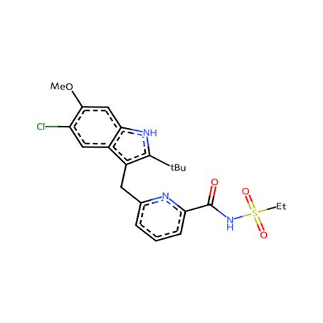 CCS(=O)(=O)NC(=O)c1cccc(Cc2c(C(C)(C)C)[nH]c3cc(OC)c(Cl)cc23)n1